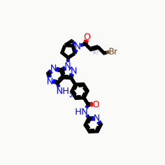 Nc1ncnc2c1c(-c1ccc(C(=O)Nc3ccccn3)cc1)nn2C1CC2CC1N(C(=O)/C=C/CBr)C2